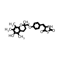 Cc1c(C)c2c(c(C)c1O)CCC(C)(COc1ccc(C=C3NC(=O)SC3=O)cc1)O2